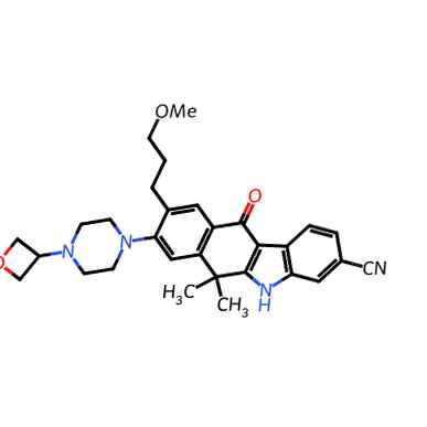 COCCCc1cc2c(cc1N1CCN(C3COC3)CC1)C(C)(C)c1[nH]c3cc(C#N)ccc3c1C2=O